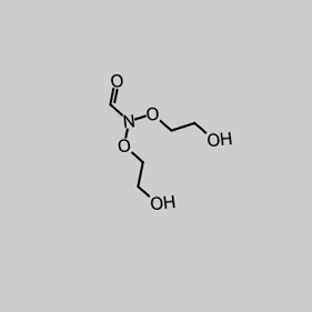 O=CN(OCCO)OCCO